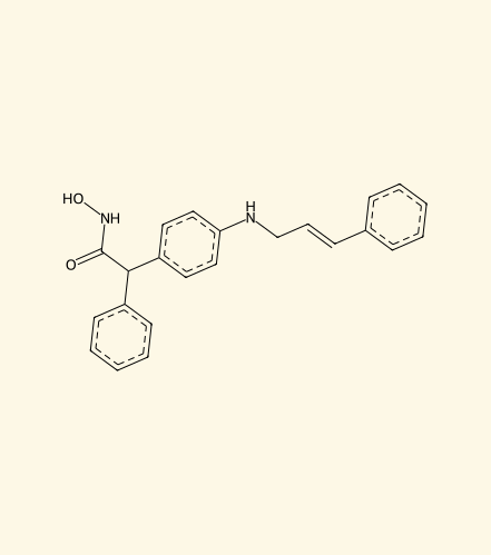 O=C(NO)C(c1ccccc1)c1ccc(NCC=Cc2ccccc2)cc1